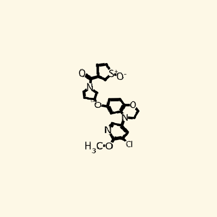 COc1ncc(N2CCOc3ccc(O[C@H]4CCN(C(=O)C5CC[S+]([O-])C5)C4)cc32)cc1Cl